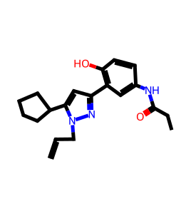 C=CCn1nc(-c2cc(NC(=O)CC)ccc2O)cc1C1CCCC1